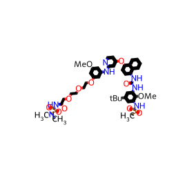 COc1cc(Nc2cc(Oc3ccc(NC(=O)Nc4cc(C(C)(C)C)cc(NS(C)(=O)=O)c4OC)c4ccccc34)ccn2)cc(OCCOCCOCC(=O)NS(=O)(=O)N(C)C)c1